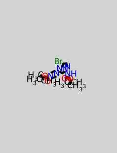 CC(C)(C)OC(=O)Nc1cc(N2CCN(C(=O)OC(C)(C)C)CC2)nc2c(Br)cnn12